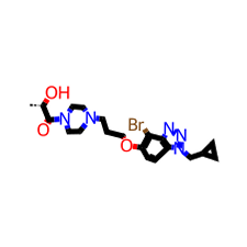 C[C@H](O)C(=O)N1CCN(CCCOc2ccc3c(nnn3CC3CC3)c2Br)CC1